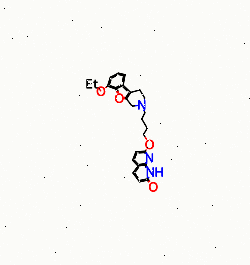 CCOc1cccc2c3c(oc12)CN(CCCCOc1ccc2ccc(=O)[nH]c2n1)CC3